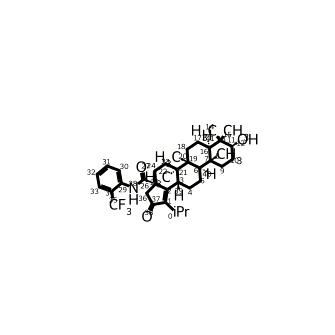 CC(C)C1=C2[C@H]3CC[C@@H]4[C@@]5(C)CC[C@H](O)C(C)(C)[C@@H]5CC[C@@]4(C)[C@]3(C)CC[C@@]2(C(=O)Nc2ccccc2C(F)(F)F)CC1=O